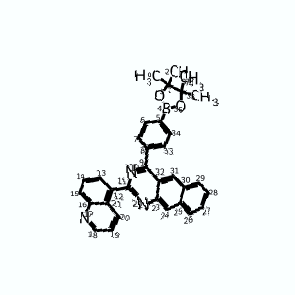 CC1(C)OB(c2ccc(-c3nc(-c4cccc5ncccc45)nc4cc5ccccc5cc34)cc2)OC1(C)C